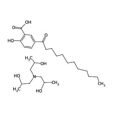 CC(O)CN(CC(C)O)CC(C)O.CCCCCCCCCCCC(=O)c1ccc(O)c(C(=O)O)c1